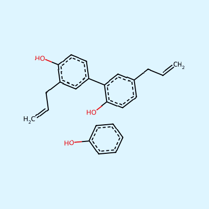 C=CCc1ccc(O)c(-c2ccc(O)c(CC=C)c2)c1.Oc1ccccc1